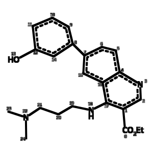 CCOC(=O)c1cnc2ccc(-c3cccc(O)c3)cc2c1NCCCN(C)C